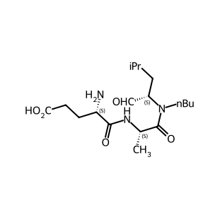 CCCCN(C(=O)[C@H](C)NC(=O)[C@@H](N)CCC(=O)O)[C@H](C=O)CC(C)C